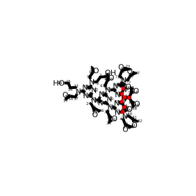 OCCCN(CC1CO1)c1nc(N(CCCO)CC2CO2)nc(N(CC2CO2)c2nc(N(CC3CO3)c3nc(N(CC4CO4)CC4CO4)nc(N(CC4CO4)CC4CO4)n3)nc(N(CC3CO3)c3nc(N(CC4CO4)CC4CO4)nc(N(CC4CO4)CC4CO4)n3)n2)n1